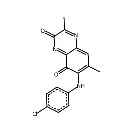 CC1=NC2=CC(C)=C(Nc3ccc(Cl)cc3)C(=O)C2=NC1=O